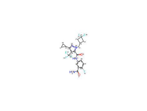 NC(=O)c1cc(NC(=O)c2c(C(F)(F)F)c(C3CC3)nn2CC2CC(F)(F)C2)ccc1F